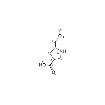 COC[C@@H]1C[C@H](C(=O)O)CN1